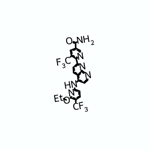 CCOc1nc(Nc2ccnc3nc(-c4ncc(C(N)=O)cc4C(F)(F)F)ccc23)ccc1C(F)(F)F